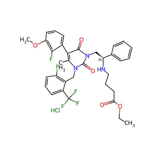 CCOC(=O)CCCN[C@@H](Cn1c(=O)c(-c2cccc(OC)c2F)c(C)n(Cc2c(F)cccc2C(F)(F)F)c1=O)c1ccccc1.Cl